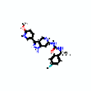 CC(C)Oc1ccc(-c2n[nH]c3cc(NC(=O)N[C@H](C)c4ccc(F)cc4)ncc23)cn1